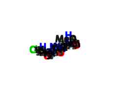 C=C(/C(C)=C(\N=C/N)C(=O)N1CCC(NC2CCOCC2OC)CC1)N1CCOC(c2ccc(Cl)cc2)C1